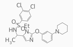 CCn1c(C(C)NS(=O)(=O)c2ccc(Cl)c(Cl)c2)cnc1Oc1cccc(N2CCCCC2)c1